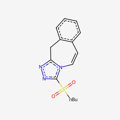 CCCCS(=O)(=O)c1nnc2n1C=Cc1ccccc1C2